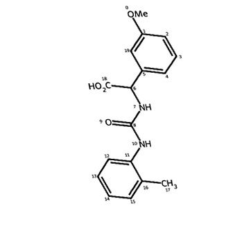 COc1cccc(C(NC(=O)Nc2ccccc2C)C(=O)O)c1